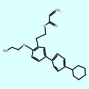 C=CC(=O)OCCc1cc(-c2ccc(C3CCCCC3)cc2)ccc1OCCO